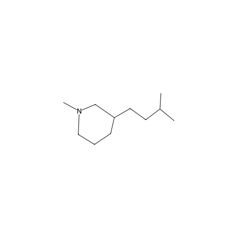 CC(C)CCC1CCCN(C)C1